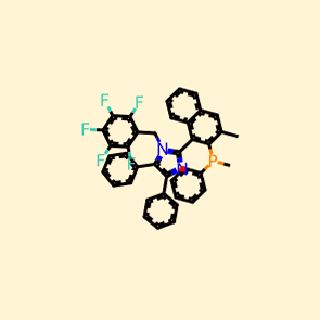 Cc1cc2ccccc2c(-c2nc(-c3ccccc3)c(-c3ccccc3)n2Cc2c(F)c(F)c(F)c(F)c2F)c1P(C)c1ccccc1